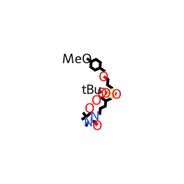 COC1CCC(COCCCS(=O)(=O)CC(CCCN2C(=O)N(C)C(C)(C)C2=O)C(=O)OC(C)(C)C)CC1